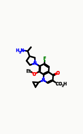 CCOc1c(N2CCC(C(C)N)C2)c(F)cc2c(=O)c(C(=O)O)cn(C3CC3)c12